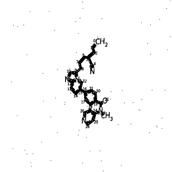 C=C/C=C(C#N)\C=C/Cc1cnc2ccc(-c3ccc(C(=O)N(C)c4ccncc4)cc3)cn12